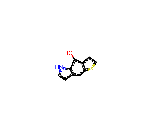 Oc1c2ccsc2cc2cc[nH]c12